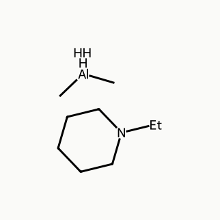 CCN1CCCCC1.[CH3][AlH][CH3].[HH]